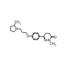 CC1CCCN1CCCOc1ccc(C2=NN(C)C(=O)CC2)cc1